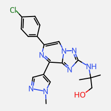 Cn1cc(-c2nc(-c3ccc(Cl)cc3)cn3nc(NC(C)(C)CO)nc23)cn1